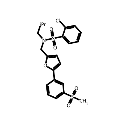 CC(C)CN(Cc1ccc(-c2cccc(S(C)(=O)=O)c2)o1)S(=O)(=O)c1ccccc1Cl